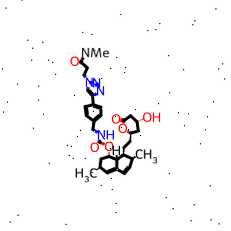 CNC(=O)CCn1cc(-c2ccc(CNC(=O)O[C@H]3C[C@@H](C)C=C4C=C[C@H](C)[C@H](CC[C@@H]5C[C@@H](O)CC(=O)O5)[C@H]43)cc2)nn1